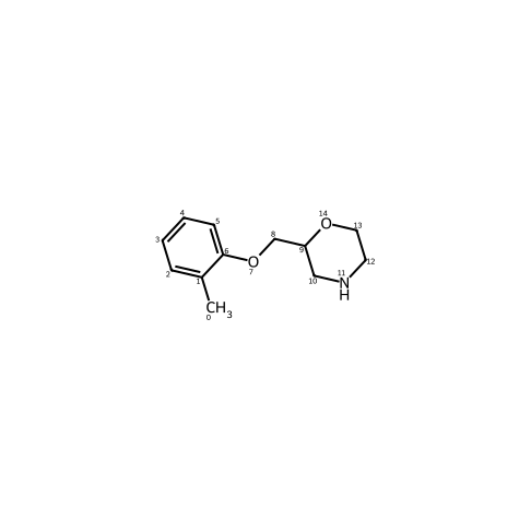 Cc1ccccc1OCC1CNCCO1